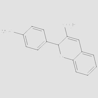 COc1ccc(C2Oc3ccccc3C=C2C(=O)O)cc1